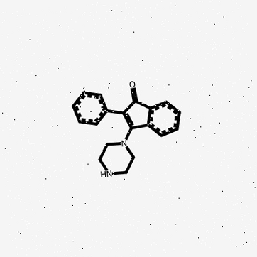 O=C1C(c2ccccc2)=C(N2CCNCC2)c2ccccc21